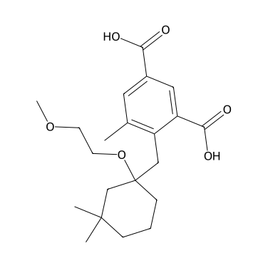 COCCOC1(Cc2c(C)cc(C(=O)O)cc2C(=O)O)CCCC(C)(C)C1